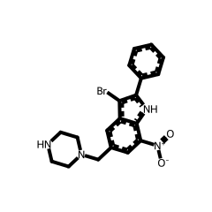 O=[N+]([O-])c1cc(CN2CCNCC2)cc2c(Br)c(-c3ccccc3)[nH]c12